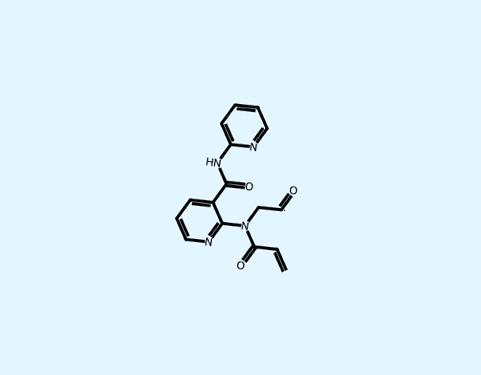 C=CC(=O)N(C[C]=O)c1ncccc1C(=O)Nc1ccccn1